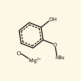 CCCCOc1ccccc1O.[Mg+2][Cl]